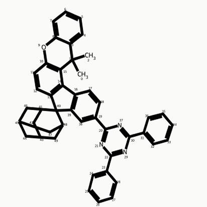 CC1(C)c2ccccc2Oc2ccc3c(c21)-c1ccc(-c2nc(-c4ccccc4)nc(-c4ccccc4)n2)cc1C31C2CC3CC(C2)CC1C3